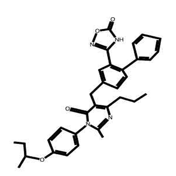 CCCc1nc(C)n(-c2ccc(OC(C)CC)cc2)c(=O)c1Cc1ccc(-c2ccccc2)c(-c2noc(=O)[nH]2)c1